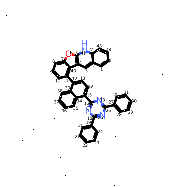 C1=CC2=Cc3c(oc4cccc(-c5ccc(-c6nc(-c7ccccc7)nc(-c7ccccc7)n6)c6ccccc56)c34)NC2C=C1